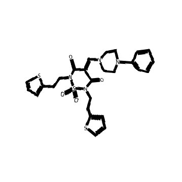 O=C1C(=CN2CCN(c3ccccc3)CC2)C(=O)N(CCc2cccs2)S(=O)(=O)N1CCc1cccs1